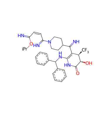 CC(C)OC(=N)/C=C\C(=N)N1CCC(C(=N)C2=C(NC(c3ccccc3)c3ccccc3)NC(=O)[C@H](O)[C@@H]2C(F)(F)F)CC1